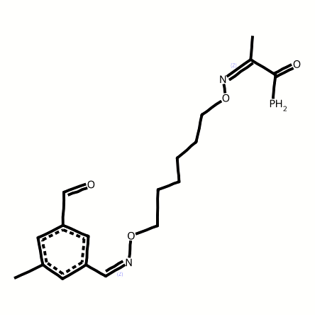 C/C(=N/OCCCCCCO/N=C\c1cc(C)cc(C=O)c1)C(=O)P